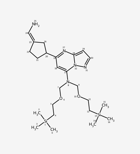 C[Si](C)(C)CCOCN(COCC[Si](C)(C)C)c1cc(C2CC/C(=C/N)C2)nc2ccnn12